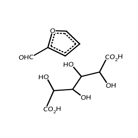 O=C(O)C(O)C(O)C(O)C(O)C(=O)O.O=Cc1ccco1